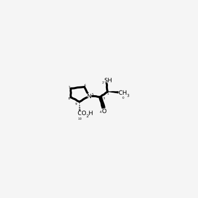 C[C@H](S)C(=O)N1CCC[C@H]1C(=O)O